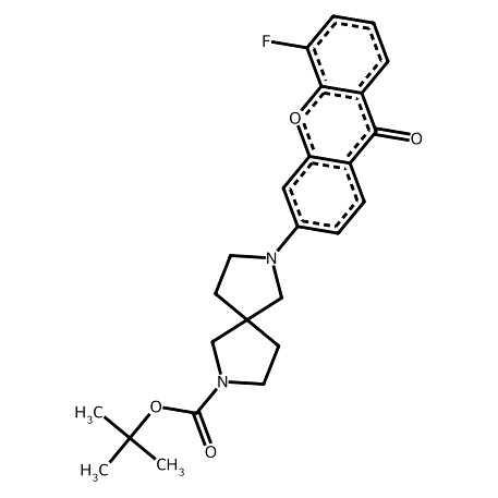 CC(C)(C)OC(=O)N1CCC2(CCN(c3ccc4c(=O)c5cccc(F)c5oc4c3)C2)C1